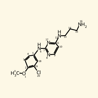 COc1ccc(Nc2nccc(NCCCN)n2)cc1Cl